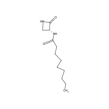 CCCCCCCCC(=O)N[C@@H]1CNC1=O